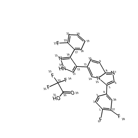 Fc1ccc(-c2cnc3ccc(-c4c[nH]nc4-c4ccccc4F)cn23)cc1F.O=C(O)C(F)(F)F